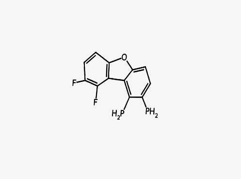 Fc1ccc2oc3ccc(P)c(P)c3c2c1F